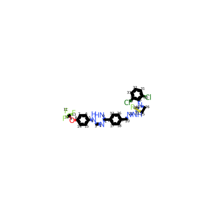 N=C(/N=C\Nc1ccc(OC(F)(F)F)cc1)c1ccc(/C=N/NS2(F)CCN2c2c(Cl)cccc2Cl)cc1